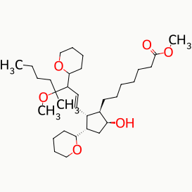 CCCCC(C)(OC)C(/C=C/[C@@H]1[C@@H](CCCCCCC(=O)OC)[C@@H](O)C[C@@H]1C1CCCCO1)C1CCCCO1